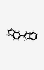 c1ccc2sc(-c3ccc4scnc4c3)cc2c1